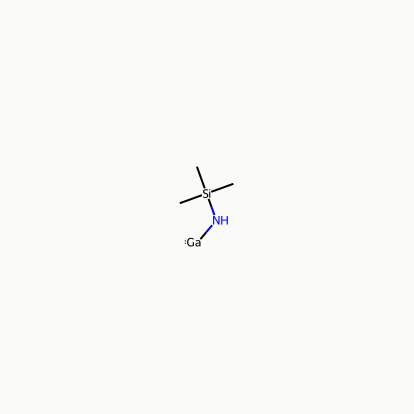 C[Si](C)(C)[NH][Ga]